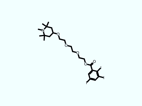 CN1C(C)(C)CC(OCCOCCOCCOC(=O)c2cc(I)cc(I)c2I)CC1(C)C